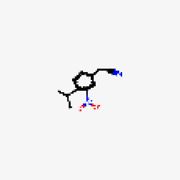 CC(C)c1ccc(CC#N)cc1[N+](=O)[O-]